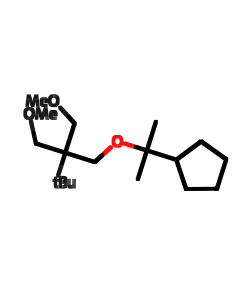 COCC(COC)(COC(C)(C)C1CCCC1)C(C)(C)C